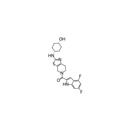 O=C(c1cc2c(F)cc(F)cc2[nH]1)N1CCc2nc(N[C@H]3CC[C@@H](O)CC3)sc2C1